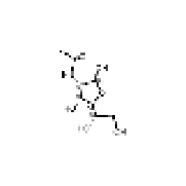 CC(=O)N[C@H]1[C@@H](O)[C@H]([C@@H](O)CO)O[C@@H]1O